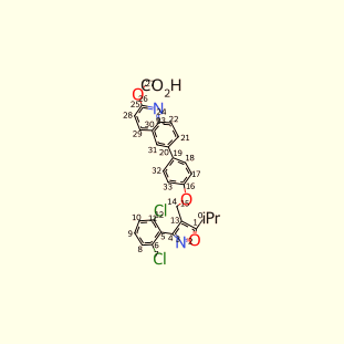 CC(C)c1onc(-c2c(Cl)cccc2Cl)c1COc1ccc(-c2ccc3nc(OC(=O)O)ccc3c2)cc1